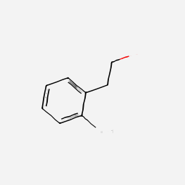 CCCCCc1cc[c]cc1CCO